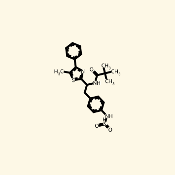 Cc1sc(C(Cc2ccc(N[SH](=O)=O)cc2)NC(=O)C(C)(C)C)nc1-c1ccccc1